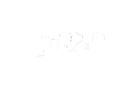 O[C@@H]1[C@H](O)[C@@H](CC=S)O[C@H]1n1cnc2c(NC3CCCCC3)ncnc21